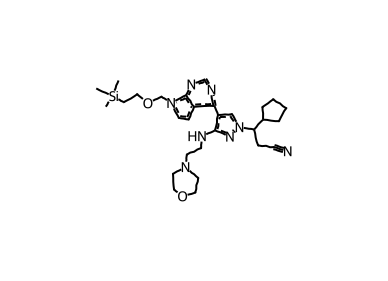 C[Si](C)(C)CCOCn1ccc2c(-c3cn(C(CC#N)C4CCCC4)nc3NCCN3CCOCC3)ncnc21